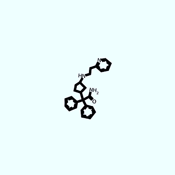 NC(=O)C(c1ccccc1)(c1ccccc1)C1CCC(NCCc2ccccn2)C1